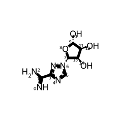 N=C(N)c1ncn([C@@H]2O[C@H](O)[C@@H](O)[C@H]2O)n1